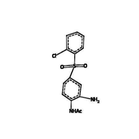 CC(=O)Nc1ccc(S(=O)(=O)c2ccccc2Cl)cc1N